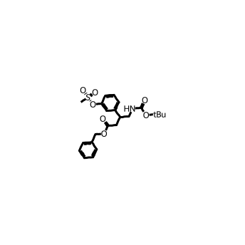 CC(C)(C)OC(=O)NCC(CC(=O)OCc1ccccc1)c1cccc(OS(C)(=O)=O)c1